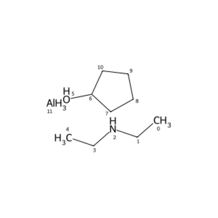 CCNCC.OC1CCCC1.[AlH3]